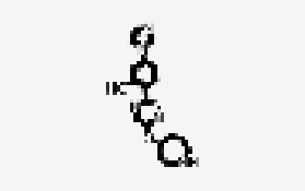 Oc1cc(-n2ccnc2)ccc1-c1ncc(O[C@H]2CCCNCC2)nn1